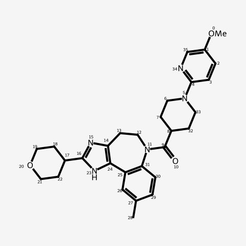 COc1ccc(N2CCC(C(=O)N3CCc4nc(C5CCOCC5)[nH]c4-c4cc(C)ccc43)CC2)nc1